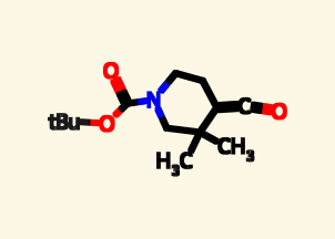 CC(C)(C)OC(=O)N1CCC(=C=O)C(C)(C)C1